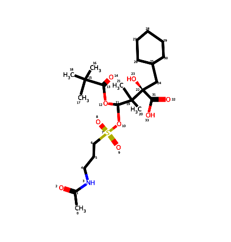 CC(=O)NCCCS(=O)(=O)OC(OC(=O)C(C)(C)C)C(C)(C)[C@](O)(CC1CCCCC1)C(=O)O